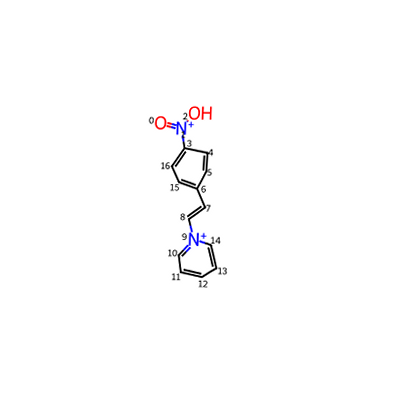 O=[N+](O)c1ccc(C=C[n+]2ccccc2)cc1